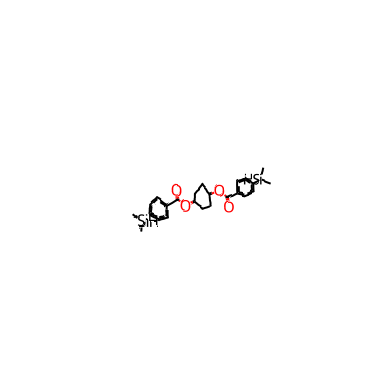 C[SiH](C)c1ccc(C(=O)OC2CCC(OC(=O)c3ccc([SiH](C)C)cc3)CC2)cc1